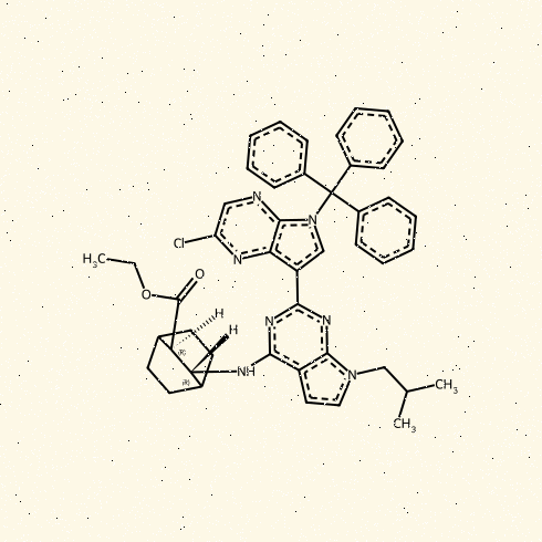 CCOC(=O)[C@@H]1C2CCC(CC2)[C@H]1Nc1nc(-c2cn(C(c3ccccc3)(c3ccccc3)c3ccccc3)c3ncc(Cl)nc23)nc2c1ccn2CC(C)C